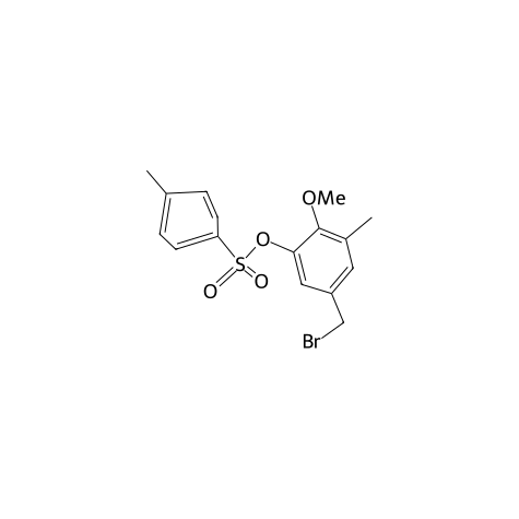 COc1c(C)cc(CBr)cc1OS(=O)(=O)c1ccc(C)cc1